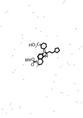 COC(=O)N1c2ccc3c(nc(CCC4CCCC4)n3[C@@H]3CCC[C@@H](C(=O)O)C3)c2CC[C@@H]1C